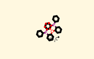 CC(=O)O.c1ccc(P(c2ccccc2)c2ccccc2Oc2ccccc2P(c2ccccc2)c2ccccc2)cc1